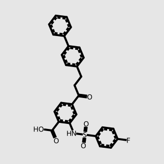 O=C(CCc1ccc(-c2ccccc2)cc1)c1ccc(C(=O)O)c(NS(=O)(=O)c2ccc(F)cc2)c1